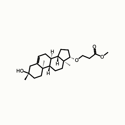 COC(=O)CCO[C@H]1CC[C@H]2[C@@H]3CC=C4C[C@@](C)(O)CC[C@]4(C)[C@H]3CC[C@]12C